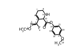 CON=C(F)C1=CCCNC1C(=O)Oc1ccc(OC)cc1